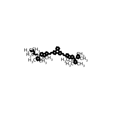 C=C/C(C)=C\C(C)=C/CN(c1cc(C)cc(C)c1)c1ccc2c(c1)C(C)(C)c1cc(/C=C/c3ccc4c5ccc(/C=C/c6ccc7c(c6)C(C)(C)c6cc(N(c8cc(C)cc(C)c8)c8cc(C)cc(C)c8)ccc6-7)cc5c5ccccc5c4c3)ccc1-2